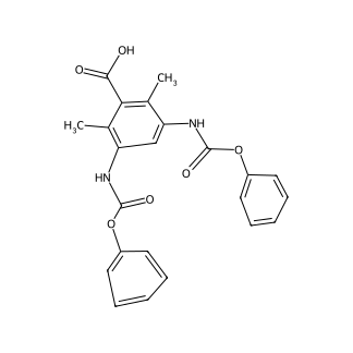 Cc1c(NC(=O)Oc2ccccc2)cc(NC(=O)Oc2ccccc2)c(C)c1C(=O)O